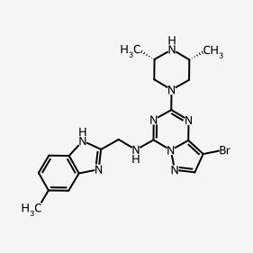 Cc1ccc2[nH]c(CNc3nc(N4C[C@@H](C)N[C@@H](C)C4)nc4c(Br)cnn34)nc2c1